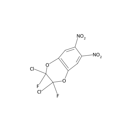 O=[N+]([O-])c1cc2c(cc1[N+](=O)[O-])OC(F)(Cl)C(F)(Cl)O2